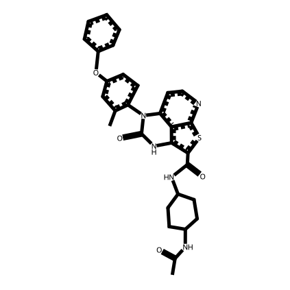 CC(=O)NC1CCC(NC(=O)c2sc3nccc4c3c2NC(=O)N4c2ccc(Oc3ccccc3)cc2C)CC1